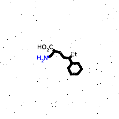 CCC(CCC(CN)C(=O)O)C1CCCCC1